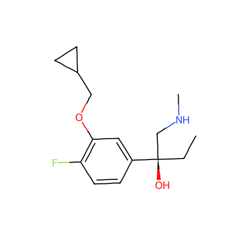 CC[C@@](O)(CNC)c1ccc(F)c(OCC2CC2)c1